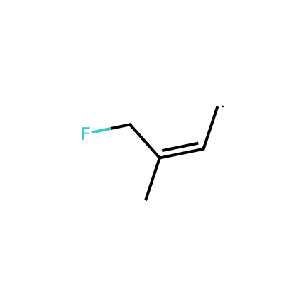 [CH2]C=C(C)CF